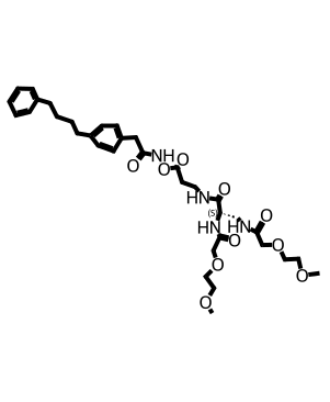 COCCOCC(=O)NC[C@H](NC(=O)COCCOC)C(=O)NCCC(=O)ONC(=O)Cc1ccc(CCCCc2ccccc2)cc1